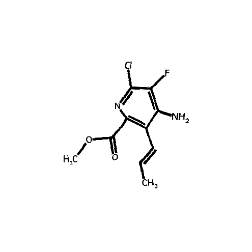 CC=Cc1c(C(=O)OC)nc(Cl)c(F)c1N